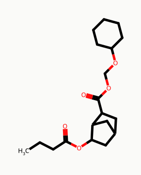 CCCC(=O)OC1CC2CC(C(=O)OCOC3CCCCC3)C1C2